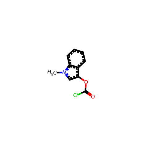 Cn1cc(OC(=O)Cl)c2ccccc21